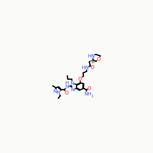 CCCn1c(NC(=O)c2cc(C)nn2CC)nc2cc(C(N)=O)cc(OCCCNC(=O)C[C@@H]3COCCN3)c21